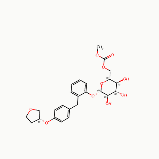 COC(=O)OC[C@H]1O[C@@H](Oc2ccccc2Cc2ccc(O[C@@H]3CCOC3)cc2)[C@H](O)[C@@H](O)[C@@H]1O